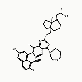 C#Cc1c(F)ccc2cc(O)cc(-c3ncc4c(N5CCCOCC5)nc(OC[C@]56CCC[C@H]5N(C[C@H](C)O)CCC6)nc4c3F)c12